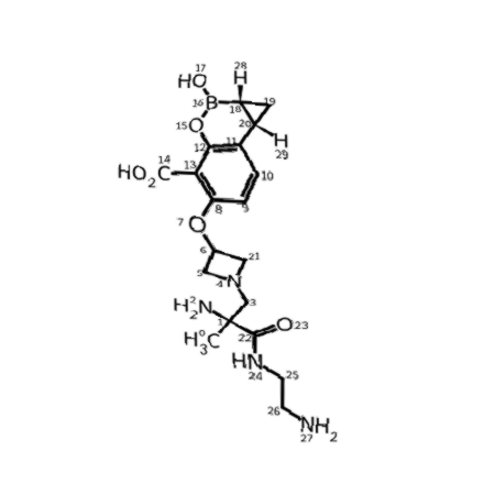 CC(N)(CN1CC(Oc2ccc3c(c2C(=O)O)OB(O)[C@@H]2C[C@H]32)C1)C(=O)NCCN